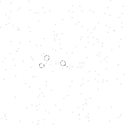 O=C(NCCCN1CCOCC1)c1cccc(OC2CCCN(CC(c3ccccc3)c3ccccc3)C2)c1